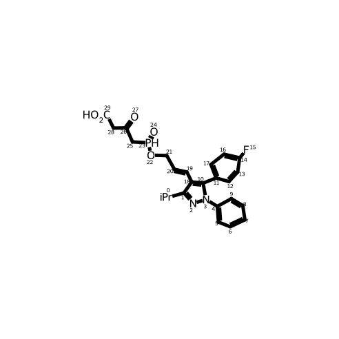 CC(C)c1nn(-c2ccccc2)c(-c2ccc(F)cc2)c1/C=C/CO[PH](=O)CC(=O)CC(=O)O